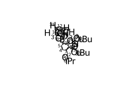 CC(C)OCc1ccc(B2OC3C[C@H]4C[C@H](C4(C)C)[C@]3(C)O2)c(OC(=O)OC(C)(C)C)c1C(=O)OC(C)(C)C